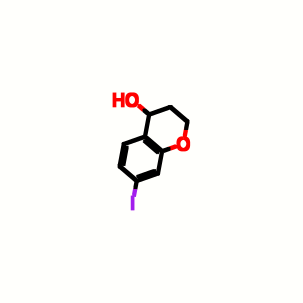 OC1CCOc2cc(I)ccc21